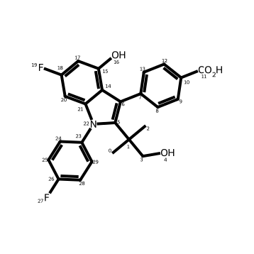 CC(C)(CO)c1c(-c2ccc(C(=O)O)cc2)c2c(O)cc(F)cc2n1-c1ccc(F)cc1